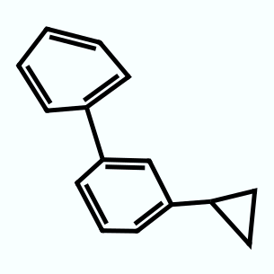 c1ccc(-c2cccc(C3CC3)c2)cc1